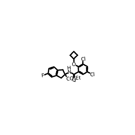 CCOC(=O)C1(NC(=O)c2cc(Cl)cc(Cl)c2OC2CCC2)Cc2ccc(F)cc2C1